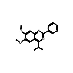 COc1cc2nc(-c3ccccc3)nc(C(C)C)c2cc1OC